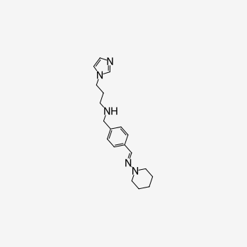 C(=NN1CCCCC1)c1ccc(CNCCCn2ccnc2)cc1